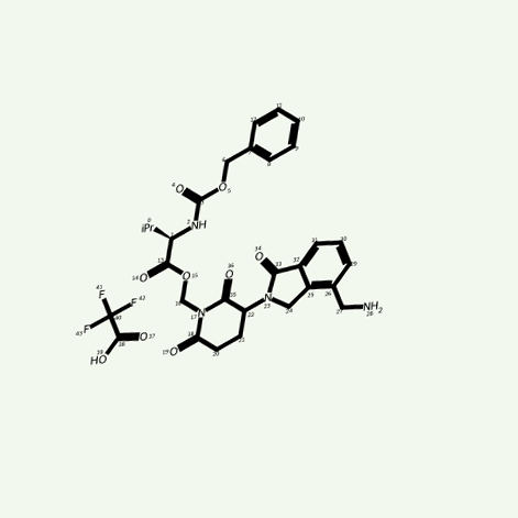 CC(C)[C@@H](NC(=O)OCc1ccccc1)C(=O)OCN1C(=O)CCC(N2Cc3c(CN)cccc3C2=O)C1=O.O=C(O)C(F)(F)F